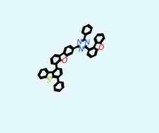 c1ccc(-c2nc(-c3ccc4c(c3)oc3c(-c5ccc(-c6ccccc6)c6sc7ccccc7c56)cccc34)nc(-c3cccc4oc5ccccc5c34)n2)cc1